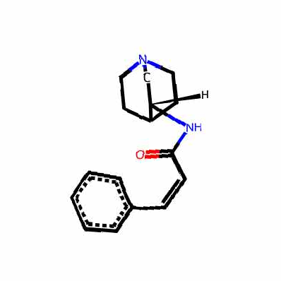 O=C(/C=C\c1ccccc1)N[C@H]1CN2CCC1CC2